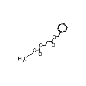 CCCOC(=O)OCCC(=O)OCc1ccccc1